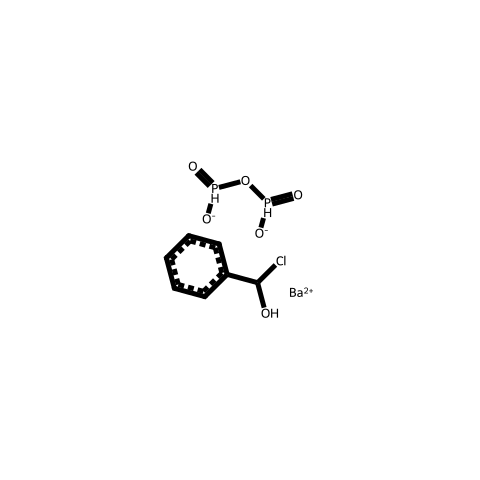 O=[PH]([O-])O[PH](=O)[O-].OC(Cl)c1ccccc1.[Ba+2]